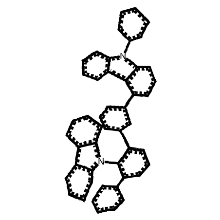 c1ccc(-c2cccc(-c3cccc(-c4cccc5c4c4ccccc4n5-c4ccccc4)c3)c2-n2c3ccccc3c3ccccc32)cc1